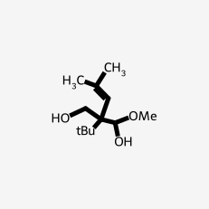 COC(O)C(C=C(C)C)(CO)C(C)(C)C